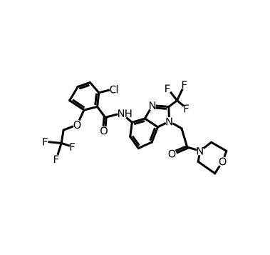 O=C(Nc1cccc2c1nc(C(F)(F)F)n2CC(=O)N1CCOCC1)c1c(Cl)cccc1OCC(F)(F)F